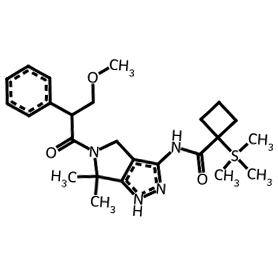 COCC(C(=O)N1Cc2c(NC(=O)C3(S(C)(C)C)CCC3)n[nH]c2C1(C)C)c1ccccc1